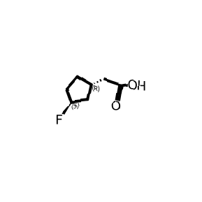 O=C(O)C[C@H]1CC[C@H](F)C1